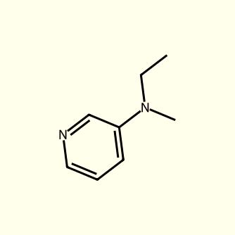 CCN(C)c1cccnc1